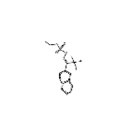 CCCS(=O)(=O)ON=C(c1ccc2ccccc2c1)C(F)(F)F